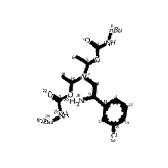 CCCCNC(=O)OC(C)N(CC(N)c1cccc(Cl)c1)C(C)OC(=O)NCCCC